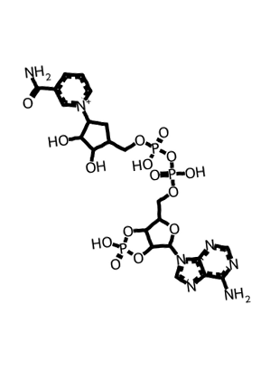 NC(=O)c1ccc[n+](C2CC(COP(=O)(O)OP(=O)(O)OCC3OC(n4cnc5c(N)ncnc54)C4OP(=O)(O)OC34)C(O)C2O)c1